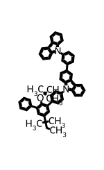 CCC(C)(C)c1cc(-c2ccccc2)c(OC(C)(C)C)c(-c2ccc(-n3c4ccccc4c4cc(-c5cccc(-n6c7ccccc7c7ccccc76)c5)ccc43)cc2)c1